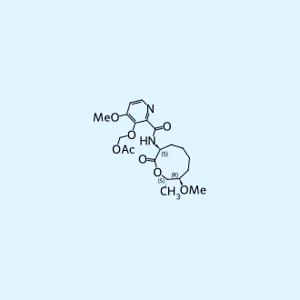 COc1ccnc(C(=O)N[C@H]2CCCC[C@@H](OC)[C@H](C)OC2=O)c1OCOC(C)=O